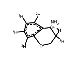 [2H]c1c([2H])c([2H])c2c(c1[2H])OCC([2H])([2H])[C@H]2N